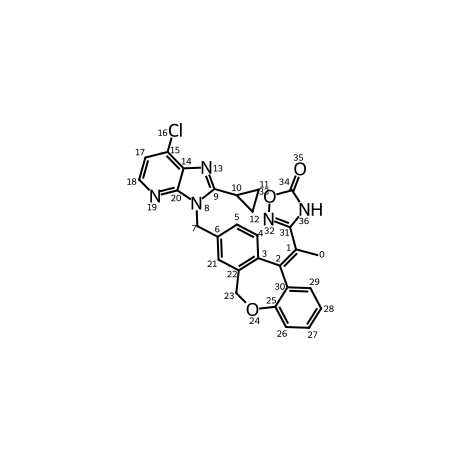 CC(=C1c2ccc(Cn3c(C4CC4)nc4c(Cl)ccnc43)cc2COc2ccccc21)c1noc(=O)[nH]1